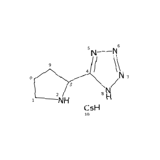 C1CNC(c2nnn[nH]2)C1.[CsH]